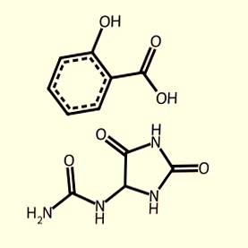 NC(=O)NC1NC(=O)NC1=O.O=C(O)c1ccccc1O